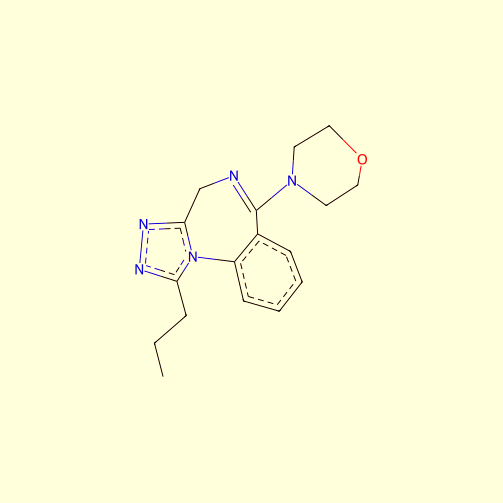 CCCc1nnc2n1-c1ccccc1C(N1CCOCC1)=NC2